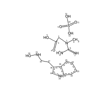 CN(CC(=O)O)C(=N)N.O=S(=O)(O)O.ONCCc1c[nH]c2ccccc12